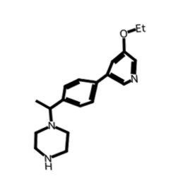 CCOc1cncc(-c2ccc(C(C)N3CCNCC3)cc2)c1